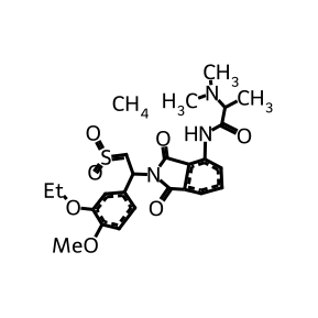 C.CCOc1cc(C(C=S(=O)=O)N2C(=O)c3cccc(NC(=O)C(C)N(C)C)c3C2=O)ccc1OC